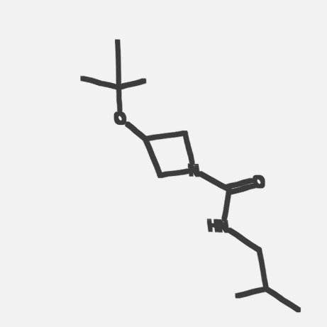 CC(C)CNC(=O)N1CC(OC(C)(C)C)C1